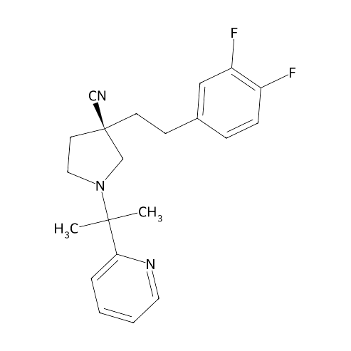 CC(C)(c1ccccn1)N1CC[C@](C#N)(CCc2ccc(F)c(F)c2)C1